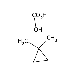 CC1(C)CC1.O=C(O)O